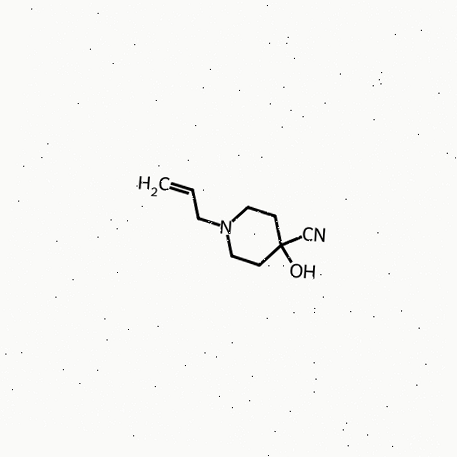 C=CCN1CCC(O)(C#N)CC1